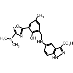 Cc1cc(CNc2ccc3[nH]nc(C(=O)O)c3c2)c(O)c(-c2nc(N(C)C)no2)c1